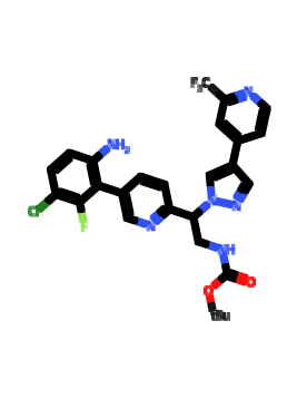 CC(C)(C)OC(=O)NCC(c1ccc(-c2c(N)ccc(Cl)c2F)cn1)n1cc(-c2ccnc(C(F)(F)F)c2)cn1